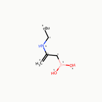 C=C(CB(O)O)NCCCCC